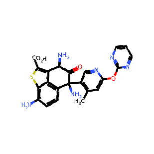 Cc1cc(Oc2ncccn2)ncc1C1(N)C(=O)C(N)c2c(C(=O)O)sc3c(N)ccc1c23